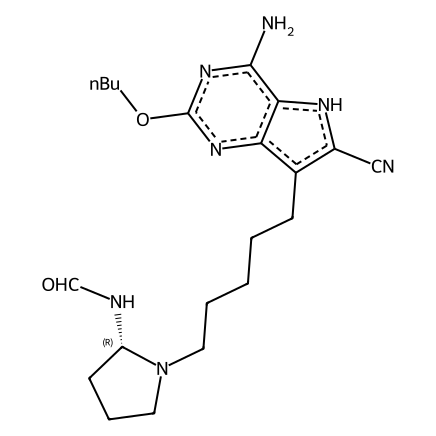 CCCCOc1nc(N)c2[nH]c(C#N)c(CCCCCN3CCC[C@@H]3NC=O)c2n1